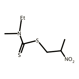 CCN(C)C(=S)SCC(C)[N+](=O)[O-]